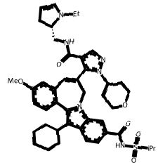 CCN1C=CC[C@H]1CNC(=O)c1cnn(C2CCOCC2)c1C1=Cc2cc(OC)ccc2-c2c(C3CCCCC3)c3ccc(C(=O)NS(=O)(=O)C(C)C)cc3n2C1